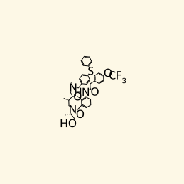 C[C@@H]1CN([C@@H](C)CO)C(=O)c2cccc(NC(=O)Cc3ccc(OC(F)(F)F)cc3)c2O[C@@H]1CN(C)Cc1ccc(Sc2ccccc2)cc1